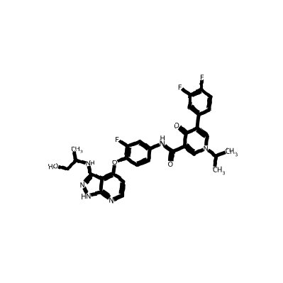 CC(CO)Nc1n[nH]c2nccc(Oc3ccc(NC(=O)c4cn(C(C)C)cc(-c5ccc(F)c(F)c5)c4=O)cc3F)c12